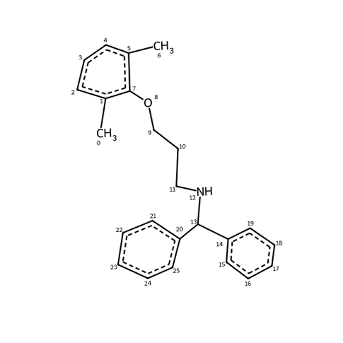 Cc1cccc(C)c1OCCCNC(c1ccccc1)c1ccccc1